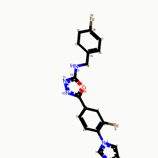 Cc1cn(C2=C(Br)CC(c3nnc(NCC4=CC=C(Br)CC4)o3)C=C2)cn1